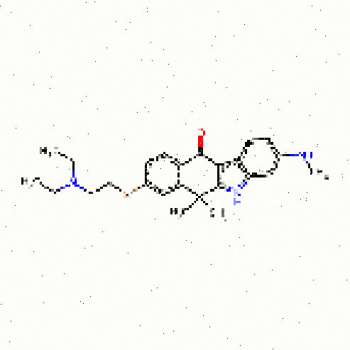 CCN(CC)CCSc1ccc2c(c1)C(C)(C)c1[nH]c3cc(NC)ccc3c1C2=O